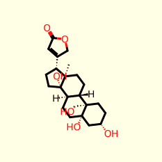 C[C@]12CC[C@H]3[C@@H](CC[C@]4(O)C[C@@H](O)CC[C@]34CO)[C@@]1(O)CC[C@@H]2C1=CC(=O)OC1